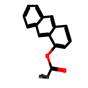 CCCCCCCCCC(=O)Oc1cccc2cc3ccccc3cc12